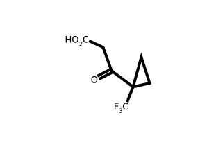 O=C(O)CC(=O)C1(C(F)(F)F)CC1